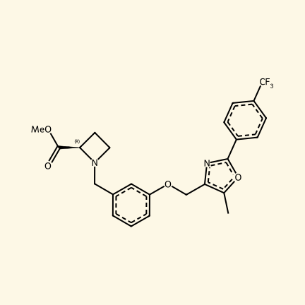 COC(=O)[C@H]1CCN1Cc1cccc(OCc2nc(-c3ccc(C(F)(F)F)cc3)oc2C)c1